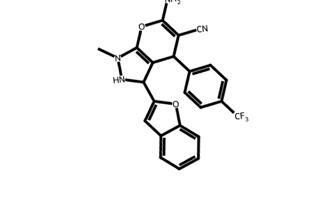 CN1NC(c2cc3ccccc3o2)C2=C1OC(N)=C(C#N)C2c1ccc(C(F)(F)F)cc1